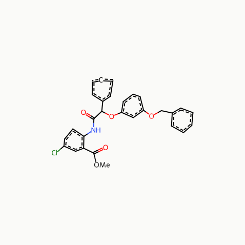 COC(=O)c1cc(Cl)ccc1NC(=O)C(Oc1cccc(OCc2ccccc2)c1)c1ccccc1